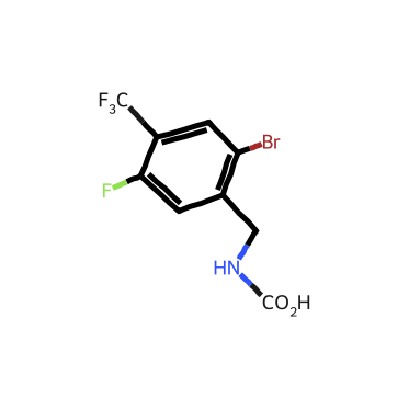 O=C(O)NCc1cc(F)c(C(F)(F)F)cc1Br